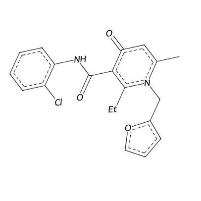 CCc1c(C(=O)Nc2ccccc2Cl)c(=O)cc(C)n1Cc1ccco1